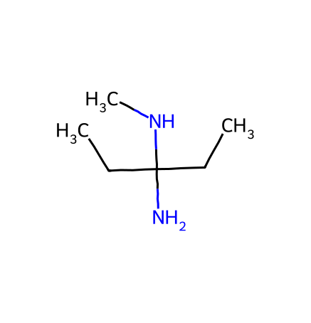 CCC(N)(CC)NC